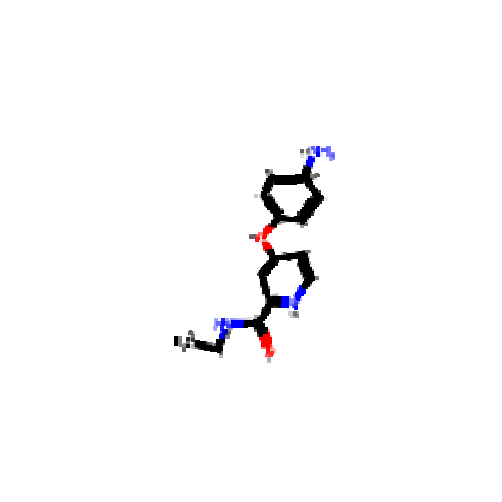 CCNC(=O)c1cc(Oc2ccc(N)cc2)ccn1